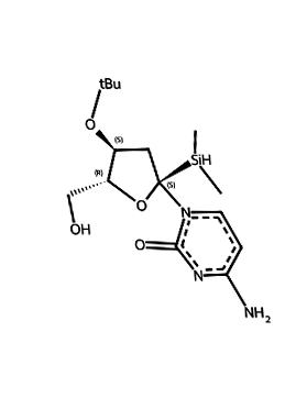 C[SiH](C)[C@]1(n2ccc(N)nc2=O)C[C@H](OC(C)(C)C)[C@@H](CO)O1